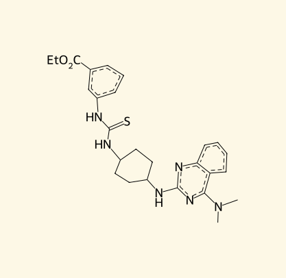 CCOC(=O)c1cccc(NC(=S)NC2CCC(Nc3nc(N(C)C)c4ccccc4n3)CC2)c1